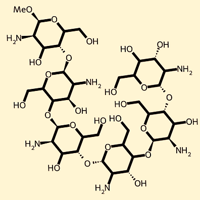 CO[C@H]1OC(CO)[C@H](O[C@@H]2OC(CO)C(O[C@H]3OC(CO)[C@H](O[C@@H]4OC(CO)C(O[C@H]5OC(CO)[C@H](O[C@@H]6OC(CO)C(O)[C@H](O)C6N)C(O)[C@H]5N)[C@H](O)C4N)C(O)[C@H]3N)[C@H](O)C2N)C(O)[C@H]1N